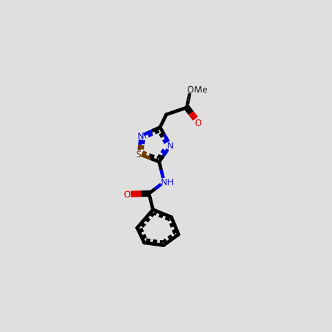 COC(=O)Cc1nsc(NC(=O)c2ccccc2)n1